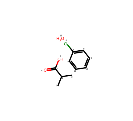 CC(C)C(=O)O.Clc1ccccc1.O